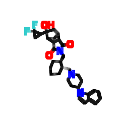 O=C1C2C3CC(C2C(=O)N1C[C@@H]1CCCC[C@H]1CN1CCC(n2ccc4ccccc42)CC1)C(O)(C1CC1(F)F)C3